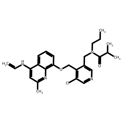 C=CNc1cc(C)nc2c(OCc3c(Cl)cncc3CN(CCC)C(=O)C(C)C)cccc12